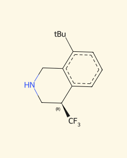 CC(C)(C)c1cccc2c1CNC[C@@H]2C(F)(F)F